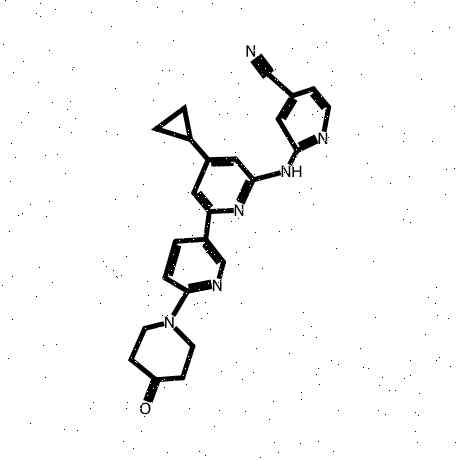 N#Cc1ccnc(Nc2cc(C3CC3)cc(-c3ccc(N4CCC(=O)CC4)nc3)n2)c1